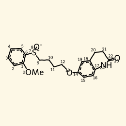 COc1ccccc1[S+]([O-])CCCCOc1ccc2c(c1)CCC(=O)N2